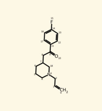 C=CCN1CCCC(CC(=O)c2ccc(F)cc2)C1